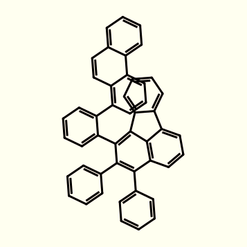 c1ccc(-c2c(-c3ccccc3-c3cccc4c3ccc3ccccc34)c3c4c(cccc4c2-c2ccccc2)-c2ccccc2-3)cc1